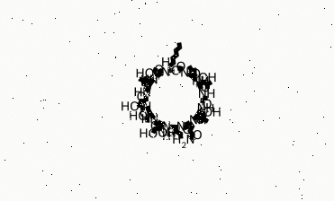 CCCCCCC[C@@H]1CC(=O)N[C@H](C(C)C)C(=O)N[C@@H]([C@H](O)C(C)C)C(=O)NC(C)C(=O)N[C@@H]([C@H](O)C(C)C)C(=O)NC(CCC(N)=O)C(=O)N(C)[C@@H]([C@H](C)CC)C(=O)N[C@H]([C@H](O)CO)C(=O)N[C@@H](C(C)O)C(=O)N2C[C@@H](O)CC2C(=O)N[C@@H](CC(C)C)C(=O)N[C@@H](C(C)O)C(=O)N1